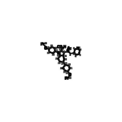 CC(=O)N(Cc1cccnc1)c1c(C(=O)O)n(-c2ccc(OC(C)C)cc2)c2ccc(-c3ccc(OC(C)C)cc3)cc12